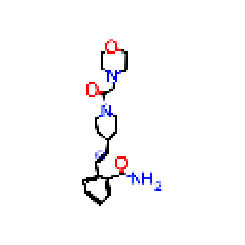 NC(=O)c1ccccc1/C=C/C1CCN(C(=O)CN2CCOCC2)CC1